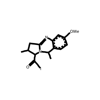 COc1ccc2c(c1)N=C1CC(C)C(C(=O)I)N1C2C